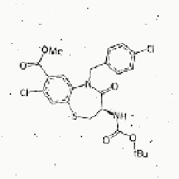 COC(=O)c1cc2c(cc1Cl)SC[C@H](NC(=O)OC(C)(C)C)C(=O)N2Cc1ccc(Cl)cc1